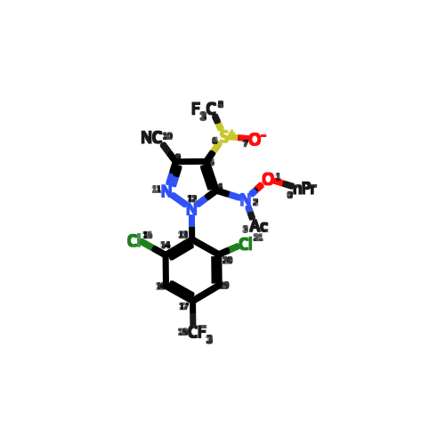 CCCON(C(C)=O)c1c([S+]([O-])C(F)(F)F)c(C#N)nn1-c1c(Cl)cc(C(F)(F)F)cc1Cl